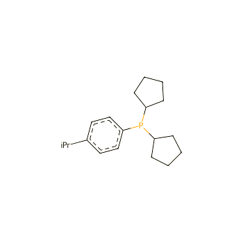 CC(C)c1ccc(P(C2CCCC2)C2CCCC2)cc1